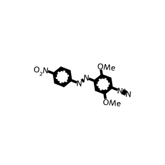 COc1cc([N+]#N)c(OC)cc1N=Nc1ccc([N+](=O)[O-])cc1